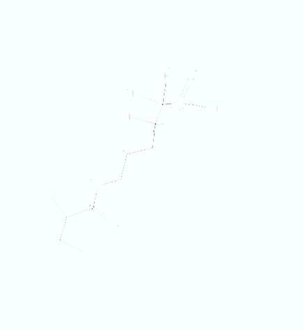 CCC(C)C(=O)OCCCC(F)(F)C(F)(F)S(=O)(=O)O